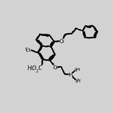 CCc1c(C(=O)O)c(OCCN(C(C)C)C(C)C)cc2c(OCCCc3ccccc3)cccc12